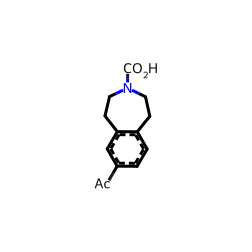 CC(=O)c1ccc2c(c1)CCN(C(=O)O)CC2